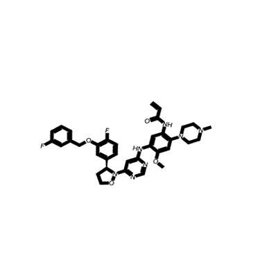 C=CC(=O)Nc1cc(Nc2cc(N3OCC[C@H]3c3ccc(F)c(OCc4cccc(F)c4)c3)ncn2)c(OC)cc1N1CCN(C)CC1